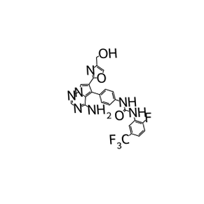 Nc1ncnn2cc(-c3nc(CO)co3)c(-c3ccc(NC(=O)Nc4cc(C(F)(F)F)ccc4F)cc3)c12